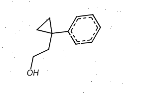 OCCC1(c2ccccc2)CC1